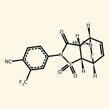 N#Cc1ccc(N2C(=O)[C@H]3[C@H]([C@H]4C=C[C@@H]3N(C(=O)O)C4)S2(=O)=O)cc1C(F)(F)F